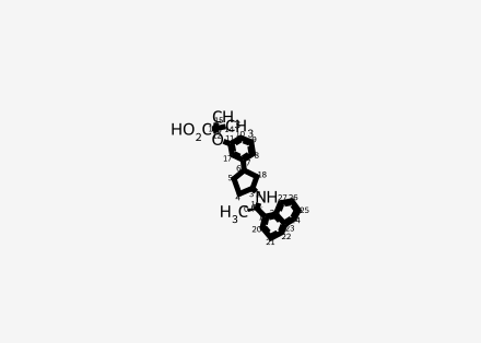 C[C@@H](NC1CCC(c2cccc(OC(C)(C)C(=O)O)c2)C1)c1cccc2ccccc12